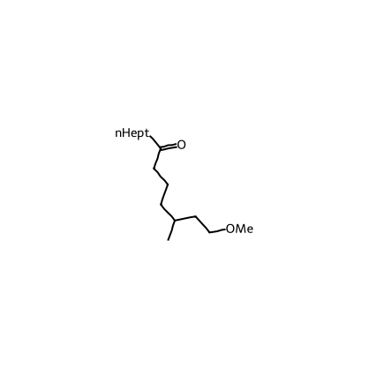 CCCCCCCC(=O)CCCC(C)CCOC